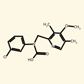 COc1c(C)cnc(CN(C(=O)O)c2cccc(Cl)c2)c1C